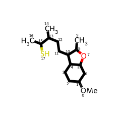 COC1CCC2C(C1)OC(C)C2CCC(C)C(C)S